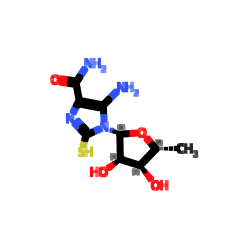 C[C@H]1O[C@@H](n2c(S)nc(C(N)=O)c2N)[C@H](O)[C@@H]1O